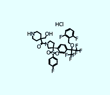 Cl.O=C(N1CC[C@](c2ccc(C(OCc3c(F)cccc3F)(C(F)(F)F)C(F)(F)F)cc2)(S(=O)(=O)c2ccc(F)cc2)C1)C1(CO)CCNCC1